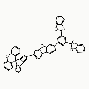 c1ccc2c(c1)Oc1ccccc1C21c2ccccc2-c2cc(-c3ccc4c(c3)oc3cc(-c5cc(-c6nc7ccccc7o6)cc(-c6nc7ccccc7o6)c5)ccc34)ccc21